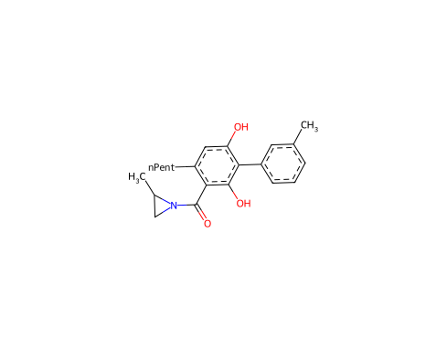 CCCCCc1cc(O)c(-c2cccc(C)c2)c(O)c1C(=O)N1CC1C